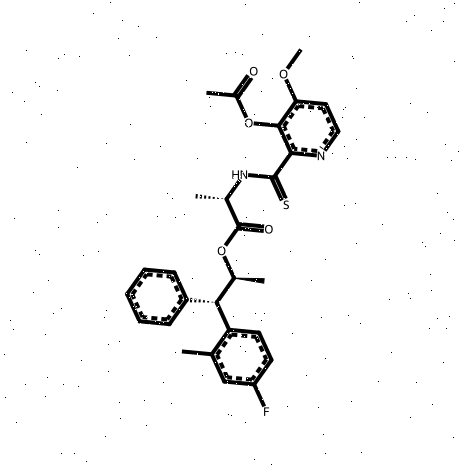 COc1ccnc(C(=S)N[C@@H](C)C(=O)O[C@@H](C)[C@@H](c2ccccc2)c2ccc(F)cc2C)c1OC(C)=O